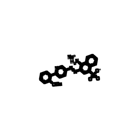 CC(C)COc1ccccc1-c1ccc(N=Nc2cc(S(=O)(=O)[O-])c3ccccc3c2N)cn1.[Na+]